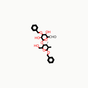 CC1[C@@H](OCc2ccccc2)OC(CO)[C@@H](O[C@@H]2OC(C=O)[C@@H](O)C(OCc3ccccc3)[C@@H]2O)[C@@H]1C